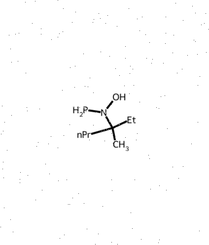 CCCC(C)(CC)N(O)P